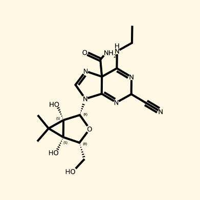 CCNC1=NC(C#N)N=C2N([C@@H]3O[C@H](CO)[C@@]4(O)C(C)(C)[C@@]34O)C=NC12C(N)=O